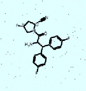 N#C[C@@H]1C[C@H](F)CN1C(=O)C(N)C(c1ccc(F)cc1)c1ccc(F)cc1